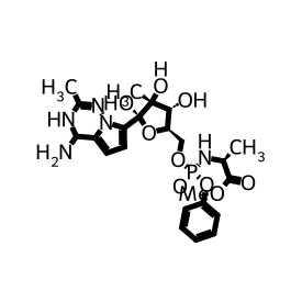 COC(=O)[C@H](C)NP(=O)(OC[C@H]1O[C@@](O)(c2ccc3n2N=C(C)NC3N)[C@](C)(O)[C@@H]1O)Oc1ccccc1